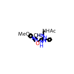 COc1ccc(N2CCN(C(=O)c3cc4c(NCCNC(C)=O)nc(-c5ccccc5)nc4[nH]3)CC2C)cc1